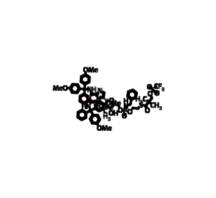 COc1ccc(C(Nc2nc(NC(c3ccccc3)(c3ccc(OC)cc3)c3ccc(OC)cc3)c3ncc([C@@H]4O[C@H](COP(=O)(NCc5ccccc5)OCCSC(=O)C(C)(C)COS(=O)(=O)C(F)(F)F)[C@@H](O)[C@@]4(C)O)n3n2)(c2ccccc2)c2ccc(OC)cc2)cc1